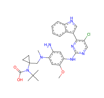 COc1cc(N(C)CC2(N(C(=O)O)C(C)(C)C)CC2)c(N)cc1Nc1ncc(Cl)c(-c2c[nH]c3ccccc23)n1